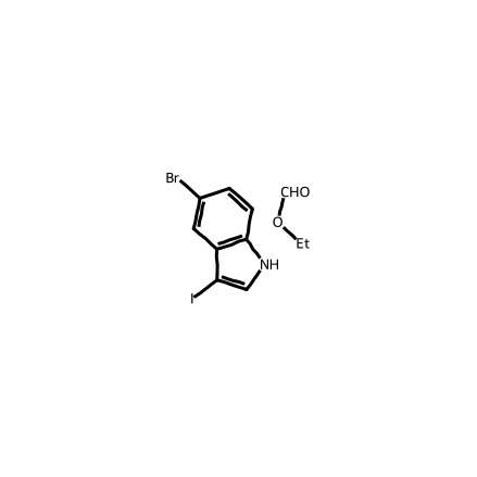 Brc1ccc2[nH]cc(I)c2c1.CCOC=O